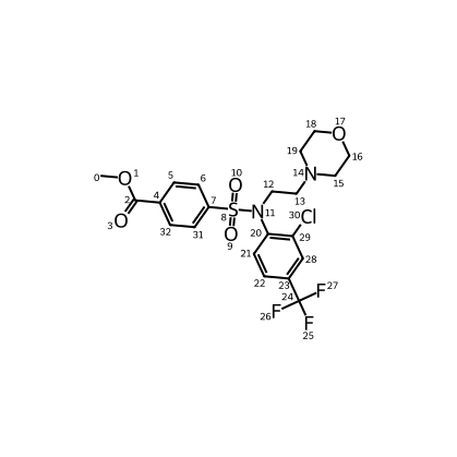 COC(=O)c1ccc(S(=O)(=O)N(CCN2CCOCC2)c2ccc(C(F)(F)F)cc2Cl)cc1